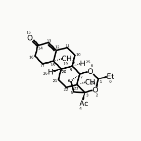 CC[C@H]1O[C@]2(C(C)=O)CC[C@@]3(O1)[C@@H]1CCC4=CC(=O)CC[C@]4(C)[C@H]1CC[C@]23C